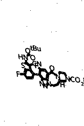 CC(C)(C)OC(=O)Nc1sc2c(F)ccc(-c3c(F)cc4c5c3nnn5CC[C@H]3CN(C(=O)O)CCN3C4=O)c2c1C#N